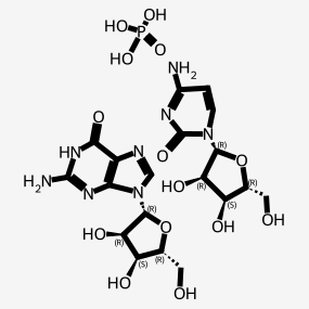 Nc1ccn([C@@H]2O[C@H](CO)[C@@H](O)[C@H]2O)c(=O)n1.Nc1nc2c(ncn2[C@@H]2O[C@H](CO)[C@@H](O)[C@H]2O)c(=O)[nH]1.O=P(O)(O)O